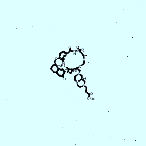 COC(=O)CCN1CCN2CCN(C[C@@]3(O)CCC[C@H](C)[C@@H](C)S(=O)(=O)NC(=O)c4ccc5c(c4)N(C[C@@H]4CC[C@H]43)C[C@@]3(CCCc4cc(Cl)ccc43)CO5)C[C@@H]2C1